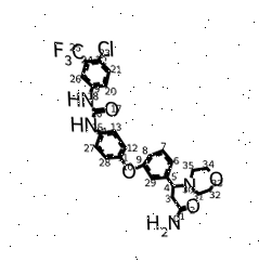 NC(=O)CC(c1cccc(Oc2ccc(NC(=O)Nc3ccc(Cl)c(C(F)(F)F)c3)cc2)c1)N1CCOCC1